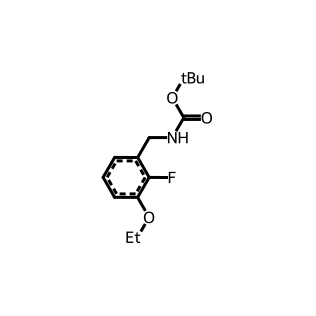 CCOc1cccc(CNC(=O)OC(C)(C)C)c1F